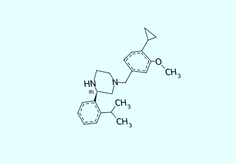 COc1cc(CN2CCN[C@H](c3ccccc3C(C)C)C2)ccc1C1CC1